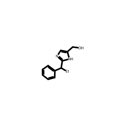 CCC(c1ccccc1)c1ncc(CO)[nH]1